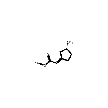 CCOC(=O)C=C1CC[C@@H](C)C1